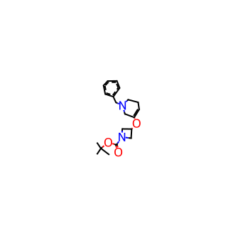 CC(C)(C)OC(=O)N1CC(OC2=CCCN(Cc3ccccc3)C2)C1